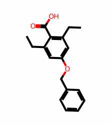 CCc1cc(OCc2ccccc2)cc(CC)c1C(=O)O